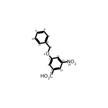 O=C(O)c1cc(OCc2ccccc2)cc([N+](=O)[O-])c1